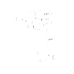 CC[C@H]([C@H](C)CC)[C@H](C)[C@@]12CCC[C@@](C)(COC(=O)CSC(C)(C)CC)[C@@H]1C(=O)CC2